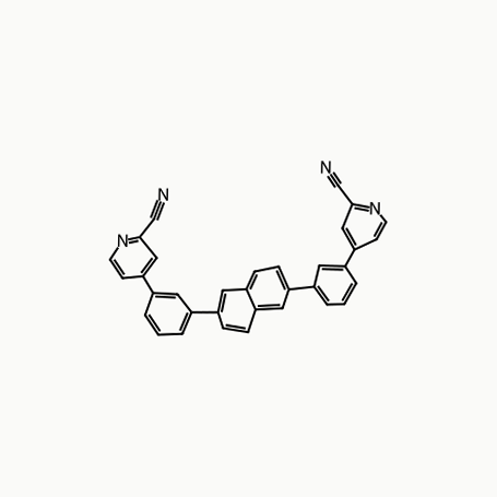 N#Cc1cc(-c2cccc(-c3ccc4cc(-c5cccc(-c6ccnc(C#N)c6)c5)ccc4c3)c2)ccn1